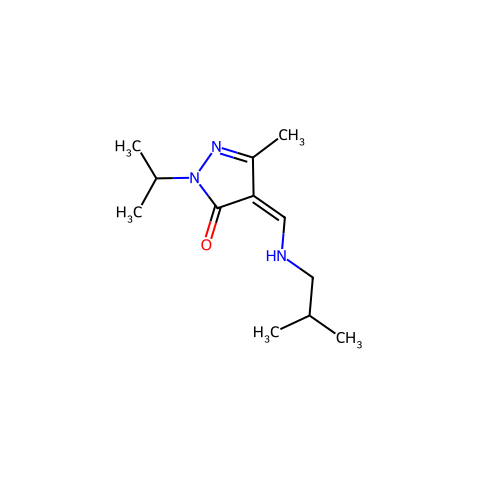 CC1=NN(C(C)C)C(=O)/C1=C\NCC(C)C